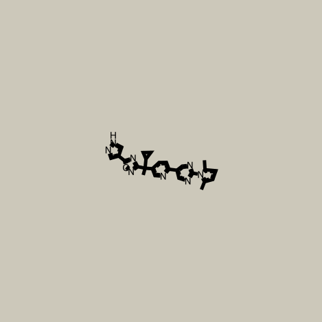 Cc1ccc(C)n1-c1ncc(-c2ccc(C(C)(c3noc(-c4cn[nH]c4)n3)C3CC3)cn2)cn1